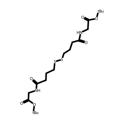 CC(C)(C)OC(=O)CNC(=O)CCCSSCCCC(=O)NCC(=O)OC(C)(C)C